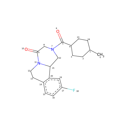 CC1CCC(C(=O)N2CC(=O)N3CCc4ccc(F)cc4C3C2)CC1